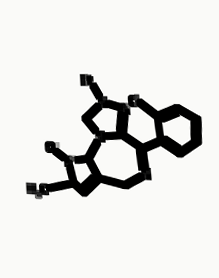 CCN1CN2C(=N1)C(c1ccccc1Cl)=NCC1=CC(C)[S+]([O-])C12